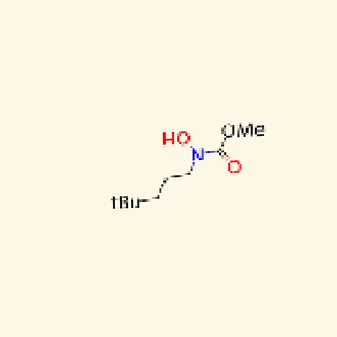 COC(=O)N(O)CCCC(C)(C)C